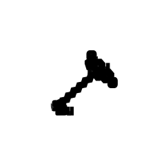 CC(C)(C)[Si](C)(C)OCCCCCCCCCCCC1CC2=CC(=O)CC[C@@H]2[C@H]2CC[C@]3(C)C(=O)CC[C@H]3[C@H]12